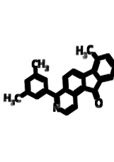 Cc1cc(C)cc(-c2nccc3c4c(ccc23)-c2c(C)cccc2C4=O)c1